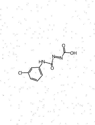 O=C(O)N=NC(=O)Nc1cccc(Cl)c1